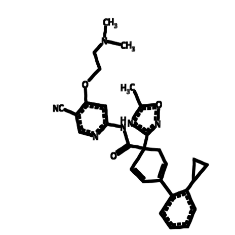 Cc1nc(C2(C(=O)Nc3cc(OCCN(C)C)c(C#N)cn3)C=CC(c3ccccc3C3CC3)=CC2)no1